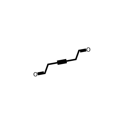 O=CCC#CCC=O